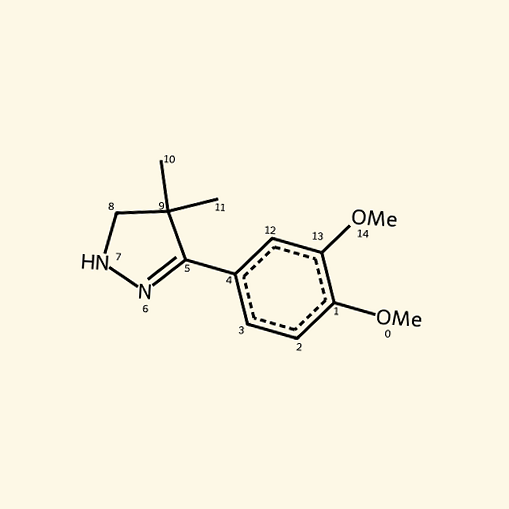 COc1ccc(C2=NNCC2(C)C)cc1OC